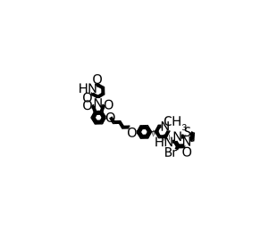 CN1C[C@H](Nc2nc3sccn3c(=O)c2Br)C[C@H](c2ccc(OCCCCOc3cccc4c3C(=O)N(C3CCC(=O)NC3=O)C4=O)cc2)C1